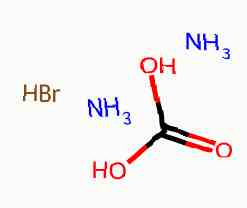 Br.N.N.O=C(O)O